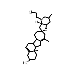 CC1=C2CC3C(CC=C4CC(O)CCC43C)C2CCC2(C1)C[C@H]1C(CC(C)CN1CCCl)O2